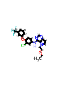 [CH2]COCCn1ccc2ncnc(Nc3ccc(Oc4cccc(C(F)(F)F)c4)c(Cl)c3)c21